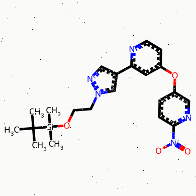 CC(C)(C)[Si](C)(C)OCCn1cc(-c2cc(Oc3ccc([N+](=O)[O-])nc3)ccn2)cn1